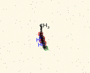 CCCCCCCCCCCC(=O)OCc1ccc(C(=O)NS(=O)(=O)c2ccc(C(=O)NCCc3ccc(Cl)cc3)cc2)cn1